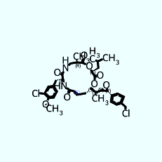 COc1ccc(C[C@H]2NC(=O)/C=C/C[C@@H]([C@H](C)[C@H]3O[C@@H]3c3ccc(CCl)cc3)OC(=O)[C@H](CC(C)C)OC(=O)[C@H](C)CNC2=O)cc1Cl